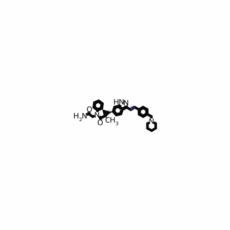 C[C@@]1(C(=O)N(CC(N)=O)c2ccccc2)C[C@H]1c1ccc2c(/C=C/c3ccc(CN4CCCCC4)cc3)n[nH]c2c1